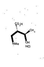 CNC[C@H](C(=O)O)[C@@H](C)O.Cl